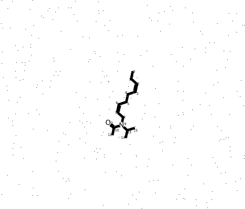 CC/C=C\CC/C=C\CN(C(C)=O)C(C)C